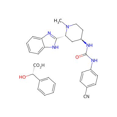 CN1CC[C@@H](NC(=O)Nc2ccc(C#N)cc2)C[C@@H]1c1nc2ccccc2[nH]1.O=C(O)[C@@H](O)c1ccccc1